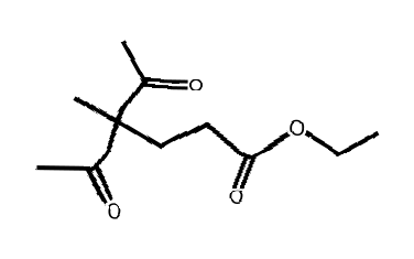 CCOC(=O)CCC(C)(C(C)=O)C(C)=O